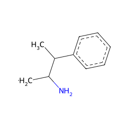 [CH2]C(N)C(C)c1ccccc1